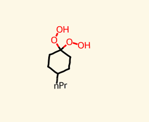 CCCC1CCC(OO)(OO)CC1